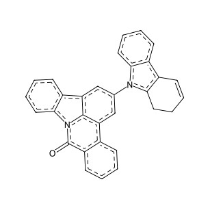 O=c1c2ccccc2c2cc(-n3c4c(c5ccccc53)C=CCC4)cc3c4ccccc4n1c23